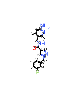 Cc1cc(N)nc(C)c1CNC(=O)c1cnn(Cc2cccc(F)c2)c1